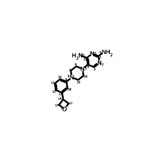 Nc1ncc(N2CCN(c3cccc(C4COC4)c3)CC2)c(N)n1